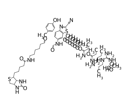 C=O.C=O.C=O.C=O.C=O.C=O.CCC(N)=O.CCC(N)=O.CCCCN.CCCNC(=N)N.CO.CO.Cc1ccc(O)cc1.N#Cc1nc2ccc(NC=O)cc2s1.O=CCCCCCNC(=O)CCCCC1SCC2NC(=O)NC21